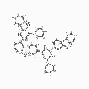 c1ccc(-c2nc(-c3ccc4c(c3)sc3ccccc34)nc(-c3ccc4c(c3)sc3cccc(-c5nc(-c6ccccc6)c6oc7ccccc7c6n5)c34)n2)cc1